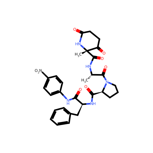 C[C@H](NC(=O)[C@]1(C)NC(=O)CCC1=O)C(=O)N1CCC[C@H]1C(=O)N[C@@H](Cc1ccccc1)C(=O)Nc1ccc([N+](=O)[O-])cc1